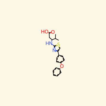 CC(C)C(CC(=O)O)Nc1nc(-c2ccc(Oc3ccccc3)cc2)cs1